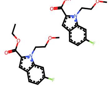 CCOC(=O)c1cc2ccc(F)cc2n1CCOC.COCCn1c(C(=O)O)cc2ccc(F)cc21